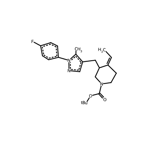 C/C=C1/CCN(C(=O)OC(C)(C)C)CC1Cc1cnn(-c2ccc(F)cc2)c1C